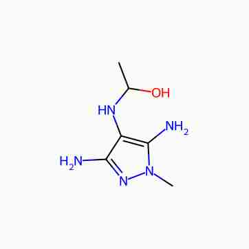 CC(O)Nc1c(N)nn(C)c1N